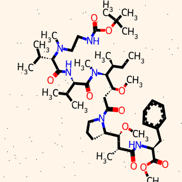 CC[C@H](C)[C@@H]([C@@H](CC(=O)N1CCC[C@H]1[C@H](OC)[C@@H](C)C(=O)N[C@@H](Cc1ccccc1)C(=O)OC)OC)N(C)C(=O)[C@@H](NC(=O)[C@H](C(C)C)N(C)CCNC(=O)OC(C)(C)C)C(C)C